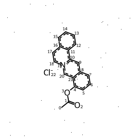 CC(=O)Oc1cccc2cc3c4ccccc4cc[n+]3cc12.[Cl-]